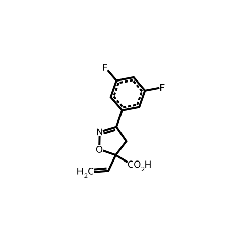 C=CC1(C(=O)O)CC(c2cc(F)cc(F)c2)=NO1